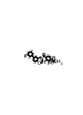 CCc1c(C(=O)N2CCOc3ccc(-c4cccc(F)c4)cc3C2)ccc(S(C)(=O)=O)c1F